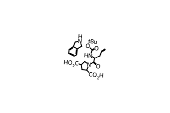 C=CC[C@H](NC(=O)OC(C)(C)C)C(=O)N1CC(C(=O)O)CC1C(=O)O.c1ccc2c(c1)CNC2